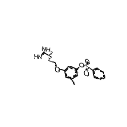 Cc1cc(OCCSC(=N)N)cc(OS(=O)(=O)c2ccccc2)c1